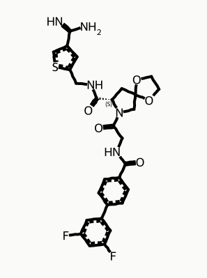 N=C(N)c1csc(CNC(=O)[C@@H]2CC3(CN2C(=O)CNC(=O)c2ccc(-c4cc(F)cc(F)c4)cc2)OCCO3)c1